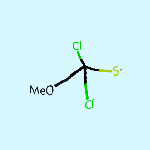 COC([S])(Cl)Cl